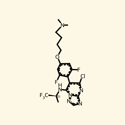 C[C@H](Nc1c(-c2c(F)cc(OCCCCN(C)C)cc2F)c(Cl)nc2ncnn12)C(F)(F)F